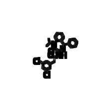 CC(C)N1C(=O)[C@@H](NC(=O)Cc2cc(Cl)cc(Cl)c2)N=C(c2ccccc2)c2ccccc21